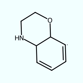 [C]1=CC=CC2NCCOC12